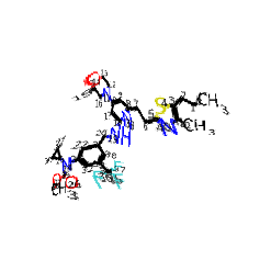 CCCc1sc(CCc2cc(N3CCOCC3)cc(NCc3cc(N(C(=O)OC)C4CC4)cc(C(F)(F)F)c3)n2)nc1C